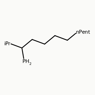 CCCCCCCCCC(P)C(C)C